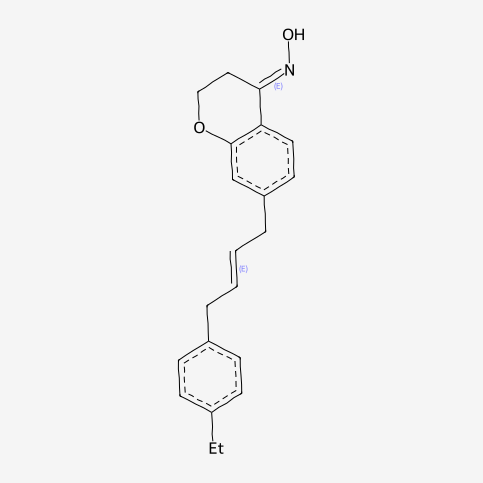 CCc1ccc(C/C=C/Cc2ccc3c(c2)OCC/C3=N\O)cc1